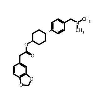 CN(C)Cc1ccc([C@H]2CC[C@H](OC(=O)Cc3ccc4c(c3)OCO4)CC2)cc1